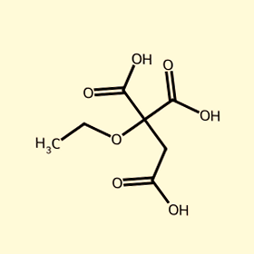 CCOC(CC(=O)O)(C(=O)O)C(=O)O